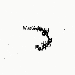 COCCCn1cc(Nc2cccn3c(C#Cc4cc(C(=O)Nc5ccc(CN6CCC(N(C)C)C6)c(C)c5)ccc4C)cnc23)cn1